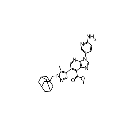 COC(=O)c1c(-c2cnn(CC34CC5CC(CC(C5)C3)C4)c2C)cnc2c1ncn2-c1ccc(N)nc1